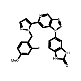 COc1ccc(Cn2nccc2-c2cc3c(cn2)nnn3-c2ccc3[nH]c(=O)[nH]c3c2)c(F)c1